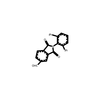 CC(C)c1cccc(C(C)C)c1N1C(=O)c2ccc(C=O)cc2C1=O